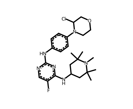 CN1C(C)(C)CC(Nc2nc(Nc3ccc(N4CCOCC4Cl)cc3)ncc2F)CC1(C)C